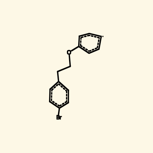 Brc1ccc(CCOc2cc[c]cc2)cc1